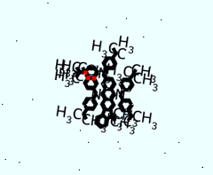 CC(C)c1ccc(N(c2ccc(C(C)C)cc2)c2ccc3c(N(c4ccc(C(C)C)cc4)c4ccc(C(C)(C)C)cc4)c4cc5c(cc4c(N(c4ccc(C(C)C)cc4)c4ccc(C(C)(C)C)cc4)c3c2)-c2ccccc2C5(C)C)cc1